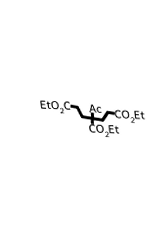 CCOC(=O)CCC(CCC(=O)OCC)(C(C)=O)C(=O)OCC